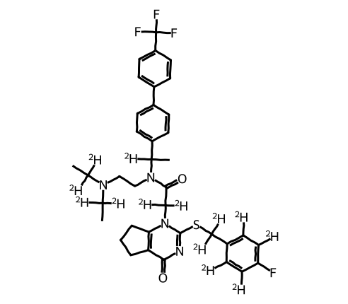 [2H]c1c([2H])c(C([2H])([2H])Sc2nc(=O)c3c(n2C([2H])([2H])C(=O)N(CCN(C([2H])([2H])C)C([2H])([2H])C)C([2H])(C)c2ccc(-c4ccc(C(F)(F)F)cc4)cc2)CCC3)c([2H])c([2H])c1F